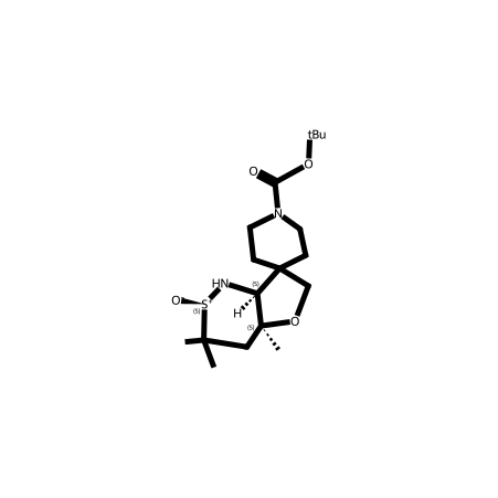 CC(C)(C)OC(=O)N1CCC2(CC1)CO[C@@]1(C)CC(C)(C)[S@@+]([O-])N[C@@H]21